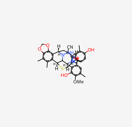 COc1c(C)cc2c(c1O)[C@@H]1C3[C@@H]4SC[C@]5(NCCc6cc(O)c(C)cc65)C(=O)NC[C@@H](c5c6c(c(C)c(C)c54)OCO6)N3[C@@H](C#N)[C@H](C2)N1C